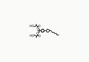 C=C(CO)C(=O)OCC(C)(COC(=O)C(=C)CO)c1ccc(C2CCC(CCCCCCC)CC2)cc1